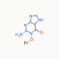 CCOn1c(N)nc2nc[nH]c2c1=O